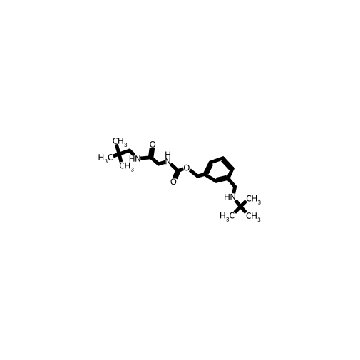 CC(C)(C)CNC(=O)CNC(=O)OCc1cccc(CNC(C)(C)C)c1